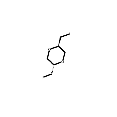 IC[C@@H]1CO[C@@H](CI)CO1